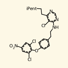 CCCC(C)CCc1ncnc(NCCc2ccc(Oc3c(Cl)cc([N+](=O)[O-])cc3Cl)cc2)c1Cl